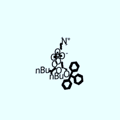 CCCCC(CCCC)C(=O)O[C@H](COC(c1ccccc1)(c1ccccc1)c1ccccc1)COP(=O)([O-])OCC[N+](C)(C)C